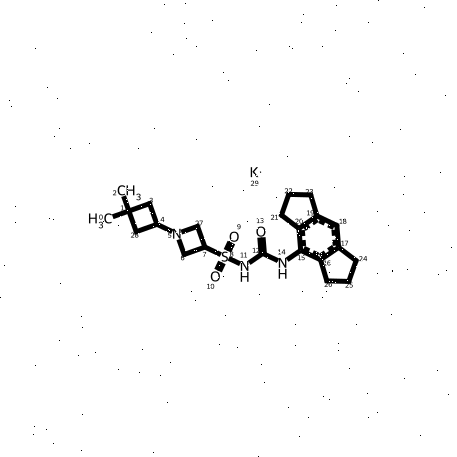 CC1(C)CC(N2CC(S(=O)(=O)NC(=O)Nc3c4c(cc5c3CCC5)CCC4)C2)C1.[K]